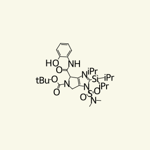 CC(C)[Si](c1nc2c(n1S(=O)(=O)N(C)C)CN(C(=O)OC(C)(C)C)C2C(=O)Nc1ccccc1O)(C(C)C)C(C)C